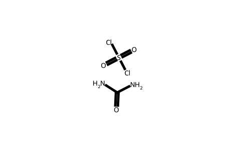 NC(N)=O.O=S(=O)(Cl)Cl